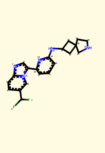 FC(F)c1ccc2ncc(-c3cccc(NC4CC5(CCNC5)C4)n3)n2c1